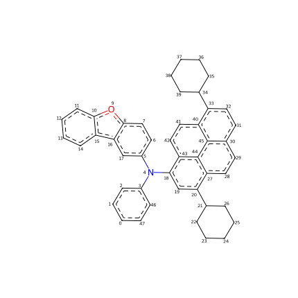 c1ccc(N(c2ccc3oc4ccccc4c3c2)c2cc(C3CCCCC3)c3ccc4ccc(C5CCCCC5)c5ccc2c3c45)cc1